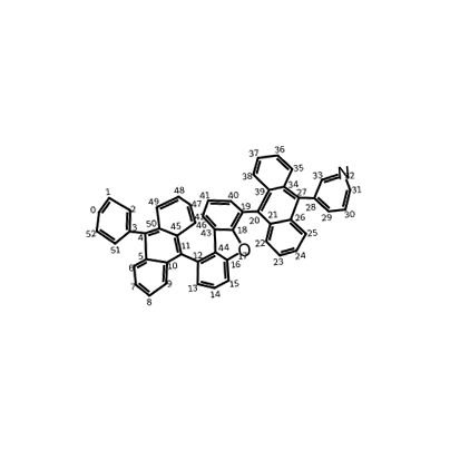 c1ccc(-c2c3ccccc3c(-c3cccc4oc5c(-c6c7ccccc7c(-c7cccnc7)c7ccccc67)cccc5c34)c3ccccc23)cc1